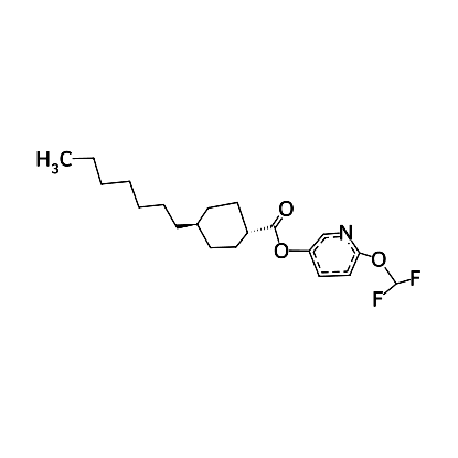 CCCCCCC[C@H]1CC[C@H](C(=O)Oc2ccc(OC(F)F)nc2)CC1